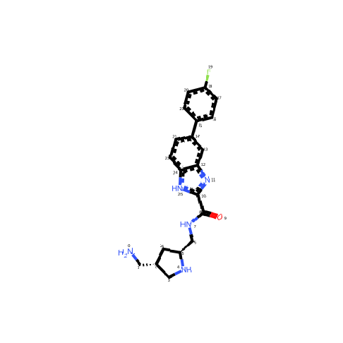 NC[C@H]1CN[C@H](CNC(=O)c2nc3cc(-c4ccc(F)cc4)ccc3[nH]2)C1